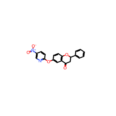 O=C1CC(c2ccccc2)Oc2ccc(Oc3ccc([N+](=O)[O-])cn3)cc21